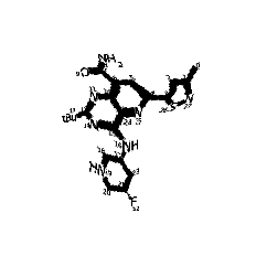 Cc1cc(-c2cc(C(N)=O)c3nc(C(C)(C)C)nc(N[C@@H]4CNC[C@@H](F)C4)c3n2)sn1